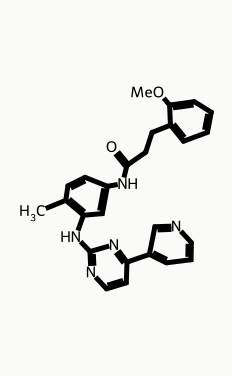 COc1ccccc1CCC(=O)Nc1ccc(C)c(Nc2nccc(-c3cccnc3)n2)c1